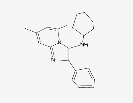 Cc1cc(C)n2c(NC3CCCCC3)c(-c3ccccc3)nc2c1